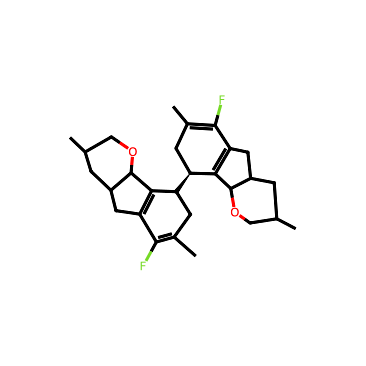 CC1=C(F)C2=C(C3OCC(C)CC3C2)C([C@H]2CC(C)=C(F)C3=C2C2OCC(C)CC2C3)C1